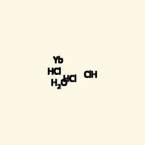 Cl.Cl.Cl.O.[Yb]